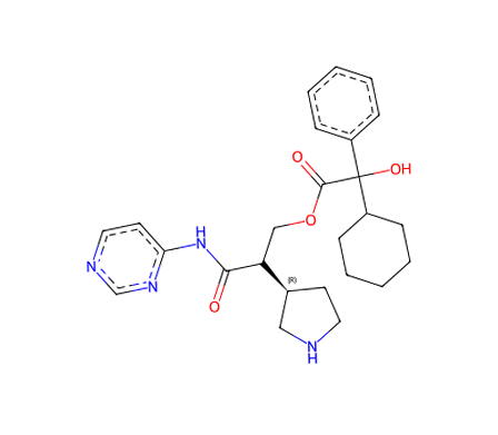 O=C(Nc1ccncn1)C(COC(=O)C(O)(c1ccccc1)C1CCCCC1)[C@H]1CCNC1